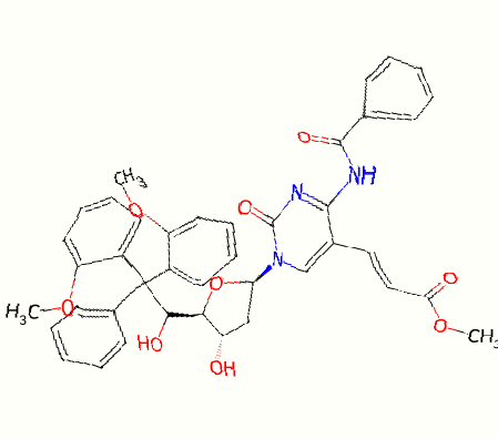 COC(=O)/C=C/c1cn([C@H]2C[C@H](O)[C@@H](C(O)C(c3ccccc3)(c3ccccc3OC)c3ccccc3OC)O2)c(=O)nc1NC(=O)c1ccccc1